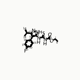 CCOC(=O)NC(=S)Nc1[nH]nc(C(C)C)c1-c1ccc(F)cc1